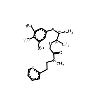 C[C@H](Sc1cc(C(C)(C)C)c(O)c(C(C)(C)C)c1)[C@@H](C)OCC(=O)N(C)CCc1ccccn1